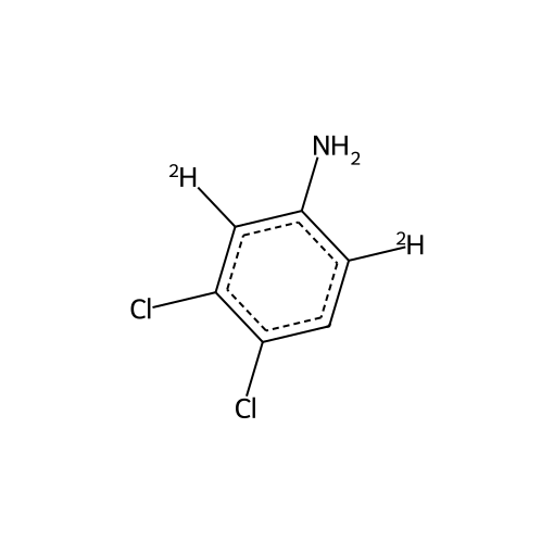 [2H]c1cc(Cl)c(Cl)c([2H])c1N